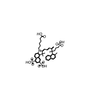 C=C(/C=C/C=C1/N(CCCCCC(=O)O)c2ccc3c(S(=O)(=O)O)cc(S(=O)(=O)O)cc3c2C1(C)C)C(C)(CCCS(=O)(=O)O)c1c(C)ccc2ccccc12